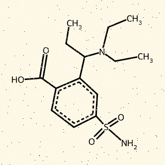 CCC(c1cc(S(N)(=O)=O)ccc1C(=O)O)N(CC)CC